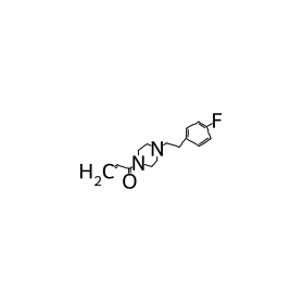 C=CC(=O)N1CCN(CCc2ccc(F)cc2)CC1